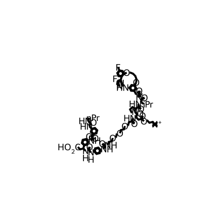 CCCNC(=O)Nc1cccc(S(=O)(=O)Nc2cccc(C(CC(=O)O)NC(=O)Nc3ccc(NC(=O)NCCOCCOCCOCCC(=O)NC(CC(=O)OCCC[N+](C)(C)C)C(=O)N4CCCC4C(=O)NC(C(=O)N=S(C)(=O)Cc4cc5cc(c4)OCCCCOc4cc(F)ccc4-c4nc(ncc4F)N5)C(C)C)cc3)c2)c1